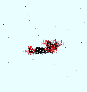 C=C1CC[C@@]23CC[C@H]4[C@@](C)(CCC[C@@]4(C)C(=O)OC4OC(CO)C(O)C(O)C4O)[C@@H]2CC[C@]1(OC1OC(CO)C(O)C(OC2OC(CO)C(O)C(O)C2O)C1OC1OC(C)C(O)C(O)C1O)C3